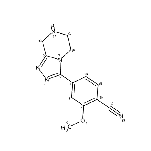 COc1cc(-c2nnc3n2CCNC3)ccc1C#N